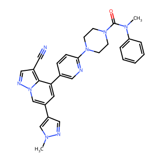 CN(C(=O)N1CCN(c2ccc(-c3cc(-c4cnn(C)c4)cn4ncc(C#N)c34)cn2)CC1)c1ccccc1